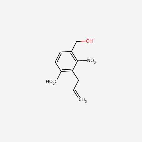 C=CCc1c(C(=O)O)ccc(CO)c1[N+](=O)[O-]